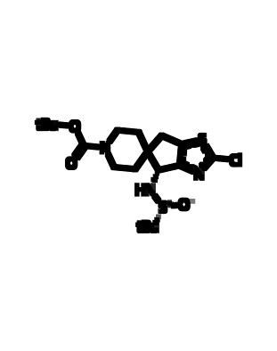 CC(C)(C)OC(=O)N1CCC2(CC1)Cc1sc(Cl)nc1[C@@H]2N[S@+]([O-])C(C)(C)C